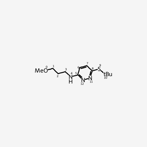 COCCCNc1ccc(SC(C)(C)C)nn1